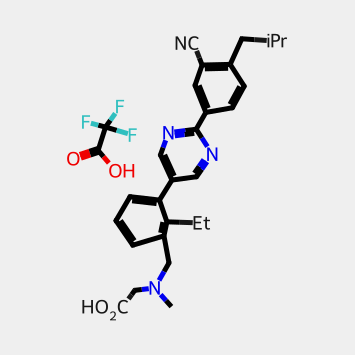 CCc1c(CN(C)CC(=O)O)cccc1-c1cnc(-c2ccc(CC(C)C)c(C#N)c2)nc1.O=C(O)C(F)(F)F